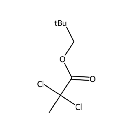 CC(C)(C)COC(=O)C(C)(Cl)Cl